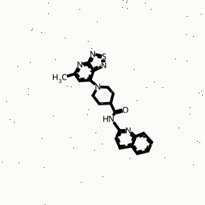 Cc1cc(N2CCC(C(=O)Nc3ccc4ccccc4n3)CC2)c2nsnc2n1